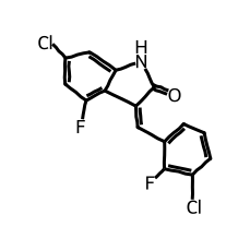 O=C1Nc2cc(Cl)cc(F)c2C1=Cc1cccc(Cl)c1F